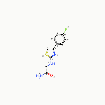 NC(=O)CNc1nc(-c2ccc(F)cc2)cs1